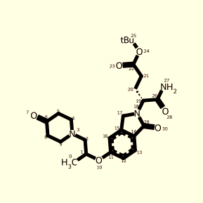 CC(CN1CCC(=O)CC1)Oc1ccc2c(c1)CN([C@H](CCC(=O)OC(C)(C)C)C(N)=O)C2=O